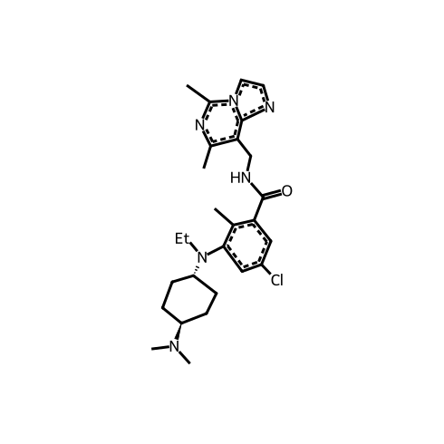 CCN(c1cc(Cl)cc(C(=O)NCc2c(C)nc(C)n3ccnc23)c1C)[C@H]1CC[C@H](N(C)C)CC1